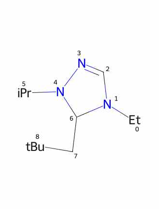 CCN1C=NN(C(C)C)C1CC(C)(C)C